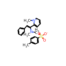 CN(C)C(=Cc1ccccc1)c1cccc[n+]1C.Cc1ccc(S(=O)(=O)[O-])cc1